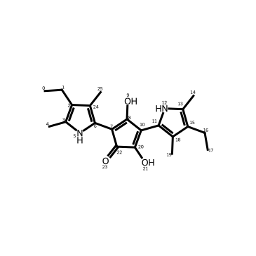 CCc1c(C)[nH]c(C2=C(O)C(c3[nH]c(C)c(CC)c3C)=C(O)C2=O)c1C